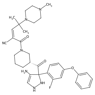 CN1CCN(C(C)(C)C=C(C#N)C(=O)N2CCC[C@@H](C(=O)C3(c4ccc(Oc5ccccc5)cc4F)NNC=C3N)C2)CC1